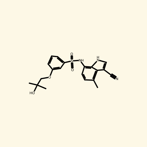 Cc1ccc(NS(=O)(=O)c2cccc(OCC(C)(C)O)c2)c2[nH]cc(C#N)c12